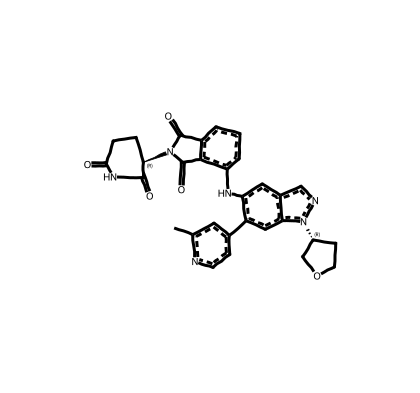 Cc1cc(-c2cc3c(cnn3[C@@H]3CCOC3)cc2Nc2cccc3c2C(=O)N([C@@H]2CCC(=O)NC2=O)C3=O)ccn1